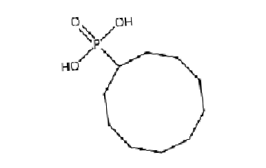 O=P(O)(O)C1CCCCCCCCC1